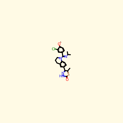 COc1ccc(C(=NC(C)C)N2CCCc3cc(C4=NNC(=O)SC4C)ccc32)cc1Cl